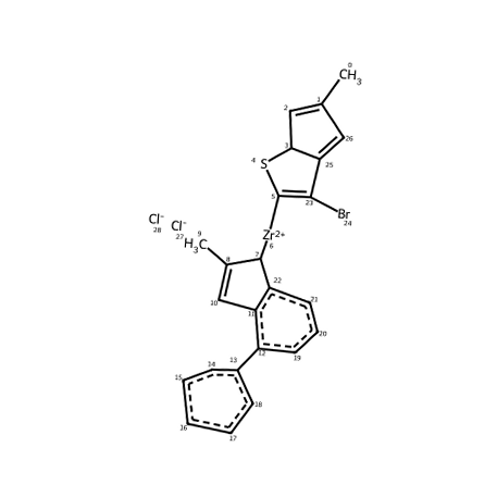 CC1=CC2S[C]([Zr+2][CH]3C(C)=Cc4c(-c5ccccc5)cccc43)=C(Br)C2=C1.[Cl-].[Cl-]